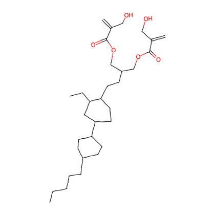 C=C(CO)C(=O)OCC(CCC1CCC(C2CCC(CCCCC)CC2)CC1CC)COC(=O)C(=C)CO